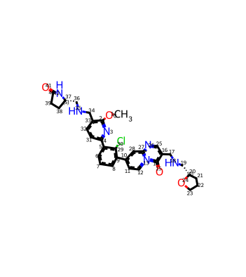 COc1nc(-c2cccc(-c3ccn4c(=O)c(CNC[C@@H]5CCCO5)cnc4c3)c2Cl)ccc1CNC[C@@H]1CCC(=O)N1